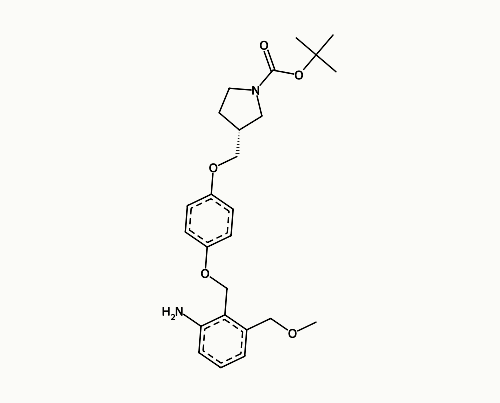 COCc1cccc(N)c1COc1ccc(OC[C@@H]2CCN(C(=O)OC(C)(C)C)C2)cc1